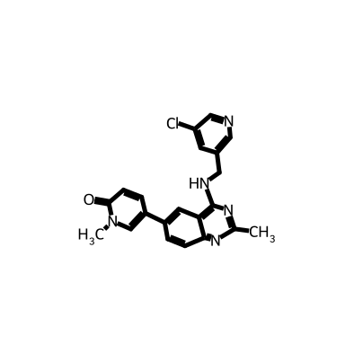 Cc1nc(NCc2cncc(Cl)c2)c2cc(-c3ccc(=O)n(C)c3)ccc2n1